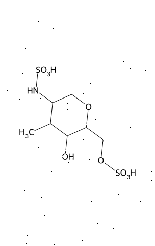 CC1C(NS(=O)(=O)O)COC(COS(=O)(=O)O)C1O